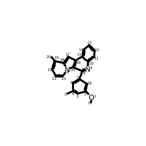 COc1cc(C)cc(-c2nc3ccccc3c3cc4c(C)cccn4c23)c1